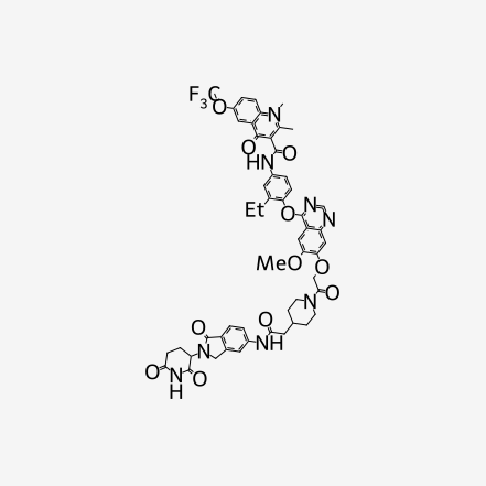 CCc1cc(NC(=O)c2c(C)n(C)c3ccc(OC(F)(F)F)cc3c2=O)ccc1Oc1ncnc2cc(OCC(=O)N3CCC(CC(=O)Nc4ccc5c(c4)CN(C4CCC(=O)NC4=O)C5=O)CC3)c(OC)cc12